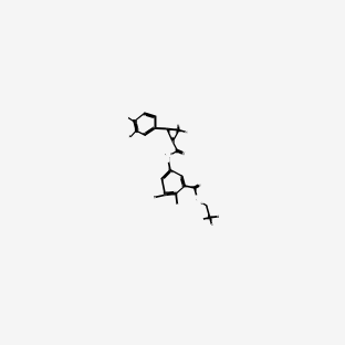 Cc1c(Cl)cc(NC(=O)C2C(c3ccc(F)c(Cl)c3)C2(Cl)Cl)cc1C(=O)NCC(F)(F)F